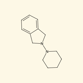 c1ccc2c(c1)CN(N1CCCCC1)C2